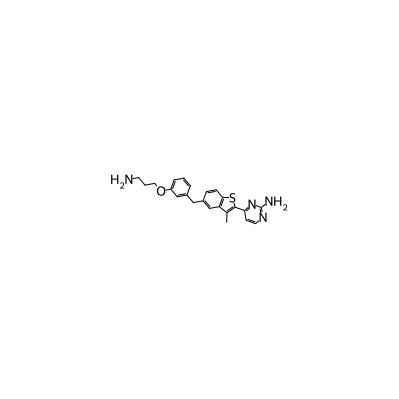 Cc1c(-c2ccnc(N)n2)sc2ccc(Cc3cccc(OCCCN)c3)cc12